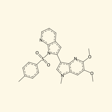 COc1cc2c(nc1OC)c(-c1cc3cccnc3n1S(=O)(=O)c1ccc(C)cc1)cn2C